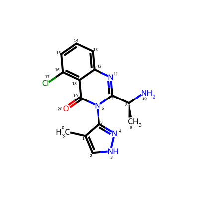 Cc1c[nH]nc1-n1c([C@H](C)N)nc2cccc(Cl)c2c1=O